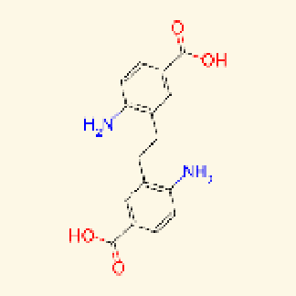 Nc1ccc(C(=O)O)cc1CCc1cc(C(=O)O)ccc1N